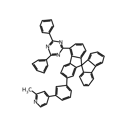 Cc1cc(-c2cccc(-c3ccc4c(c3)C3(c5ccccc5-c5ccccc53)c3cccc(-c5nc(-c6ccccc6)nc(-c6ccccc6)n5)c3-4)c2)ccn1